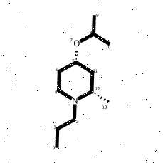 CCCN1CC[C@H](OC(C)C)C[C@@H]1C